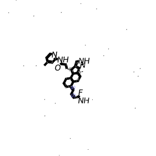 Cc1ccnc(NC(=O)CC[C@@H]2c3c[nH]nc3[C@@]3(C)CCC4/C(=C/C=C\C(=N)F)CCCC4C23)c1